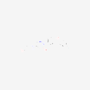 O=c1c(Cl)c(NC[C@@H]2CCCOC2)cnn1-c1ccc(Oc2ccc(F)cc2)cc1